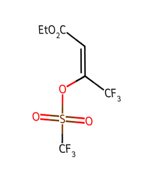 CCOC(=O)/C=C(\OS(=O)(=O)C(F)(F)F)C(F)(F)F